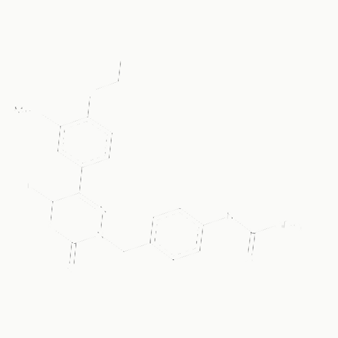 CCCCCC(=O)Nc1ccc(CN2N=C(c3ccc(OCF)c(OC)c3)C(CC)SC2=O)cc1